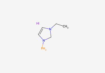 CCN1C=CN(P)C1.I